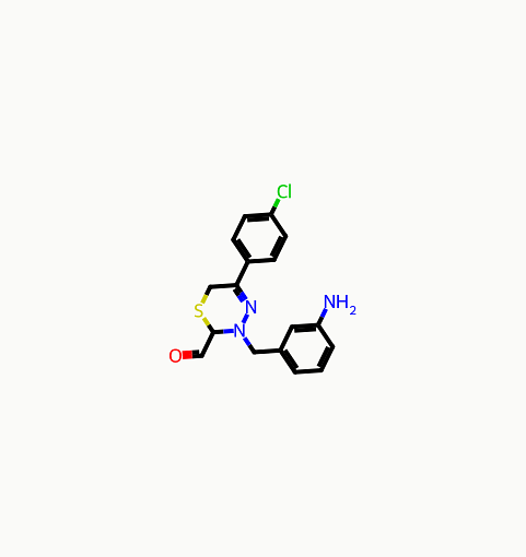 Nc1cccc(CN2N=C(c3ccc(Cl)cc3)CSC2C=O)c1